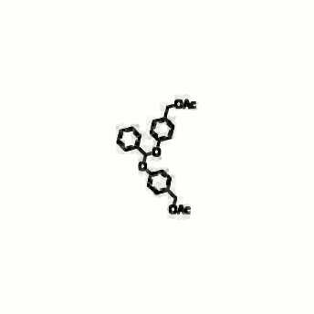 CC(=O)OCc1ccc(OC(Oc2ccc(COC(C)=O)cc2)c2ccccc2)cc1